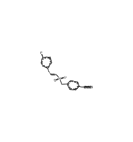 N#Cc1ccc(CS(=O)(=O)/C=C/c2ccc(F)cc2)cc1